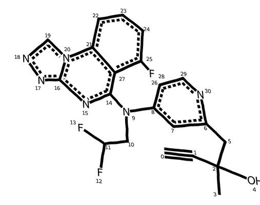 C#CC(C)(O)Cc1cc(N(CC(F)F)c2nc3nncn3c3cccc(F)c23)ccn1